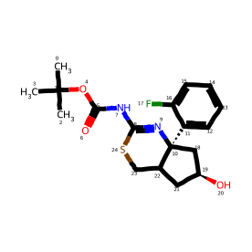 CC(C)(C)OC(=O)NC1=N[C@@]2(c3ccccc3F)C[C@@H](O)CC2CS1